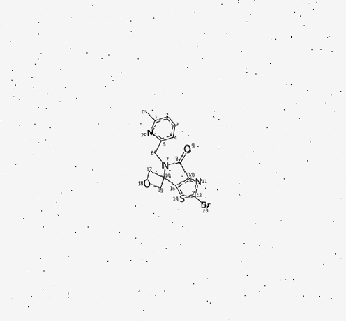 Cc1cccc(CN2C(=O)c3nc(Br)sc3C23COC3)n1